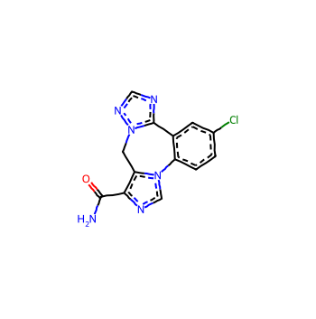 NC(=O)c1ncn2c1Cn1ncnc1-c1cc(Cl)ccc1-2